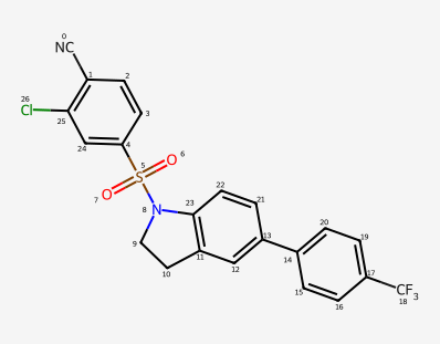 N#Cc1ccc(S(=O)(=O)N2CCc3cc(-c4ccc(C(F)(F)F)cc4)ccc32)cc1Cl